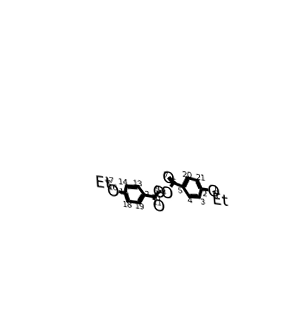 CCOc1ccc(C(=O)OOC(=O)c2ccc(OCC)cc2)cc1